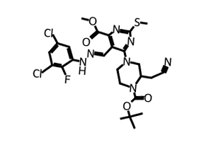 COC(=O)c1nc(SC)nc(N2CCN(C(=O)OC(C)(C)C)C(CC#N)C2)c1/C=N/Nc1cc(Cl)cc(Cl)c1F